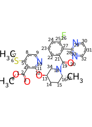 COC(=O)c1c(SC)ccnc1O[C@@H]1CC[C@@H](C)N(C(=O)c2cccc(F)c2-c2ncccn2)C1